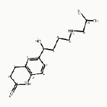 O=C1CCc2cc(C(O)CCCNCC(Cl)Cl)ccc2N1